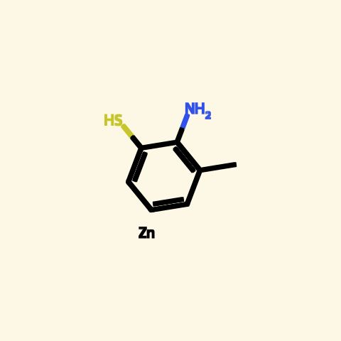 Cc1cccc(S)c1N.[Zn]